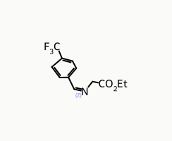 CCOC(=O)C/N=C\c1ccc(C(F)(F)F)cc1